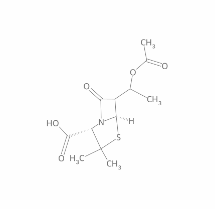 CC(=O)OC(C)C1C(=O)N2[C@@H]1SC(C)(C)[C@@H]2C(=O)O